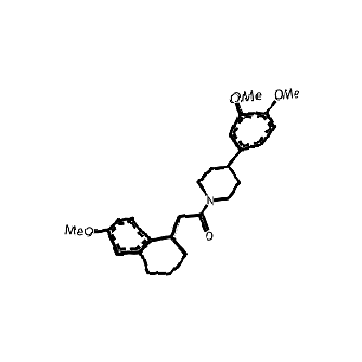 COc1ccc2c(c1)CCCC2CC(=O)N1CCC(c2ccc(OC)c(OC)c2)CC1